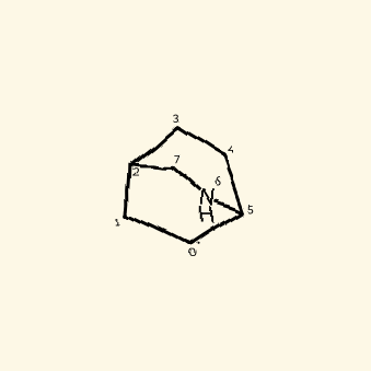 [CH]1CC2CCC1NC2